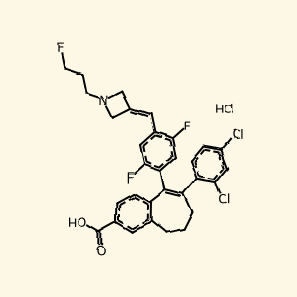 Cl.O=C(O)c1ccc2c(c1)CCCC(c1ccc(Cl)cc1Cl)=C2c1cc(F)c(C=C2CN(CCCF)C2)cc1F